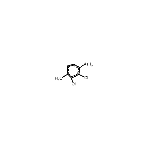 Cc1ccc([AsH2])c(Cl)c1O